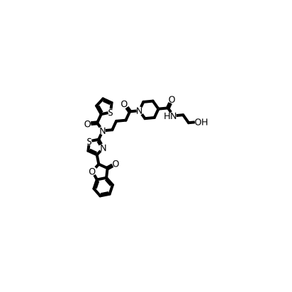 O=C(NCCO)C1CCN(C(=O)CCCN(C(=O)c2cccs2)c2nc(C3Oc4ccccc4C3=O)cs2)CC1